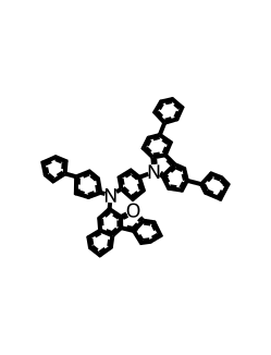 c1ccc(-c2ccc(N(c3ccc(-n4c5ccc(-c6ccccc6)cc5c5cc(-c6ccccc6)ccc54)cc3)c3cc4ccccc4c4c3oc3ccccc34)cc2)cc1